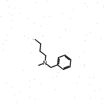 [CH2]CCCN(C)Cc1ccccc1